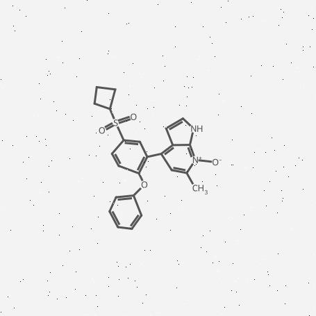 Cc1cc(-c2cc(S(=O)(=O)C3CCC3)ccc2Oc2ccccc2)c2cc[nH]c2[n+]1[O-]